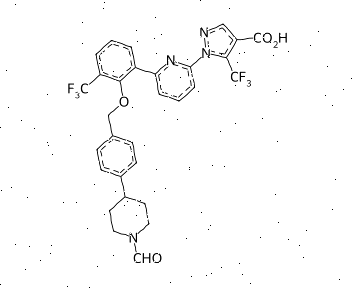 O=CN1CCC(c2ccc(COc3c(-c4cccc(-n5ncc(C(=O)O)c5C(F)(F)F)n4)cccc3C(F)(F)F)cc2)CC1